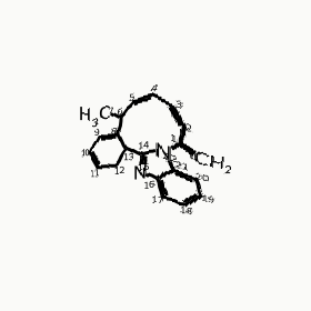 C=C1/C=C\C=C/C(C)C2=CC=CCC2c2nc3ccccc3n21